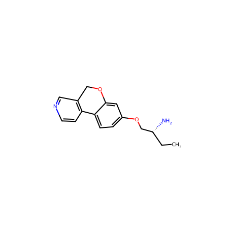 CC[C@@H](N)COc1ccc2c(c1)OCc1cnccc1-2